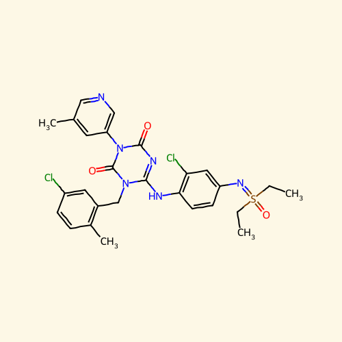 CCS(=O)(CC)=Nc1ccc(Nc2nc(=O)n(-c3cncc(C)c3)c(=O)n2Cc2cc(Cl)ccc2C)c(Cl)c1